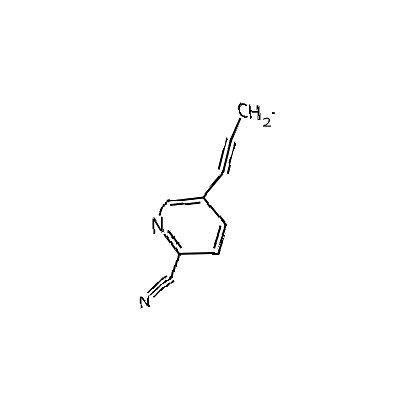 [CH2]C#Cc1ccc(C#N)nc1